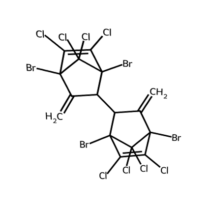 C=C1C(C2C(=C)C3(Br)C(Cl)=C(Cl)C2(Br)C3(Cl)Cl)C2(Br)C(Cl)=C(Cl)C1(Br)C2(Cl)Cl